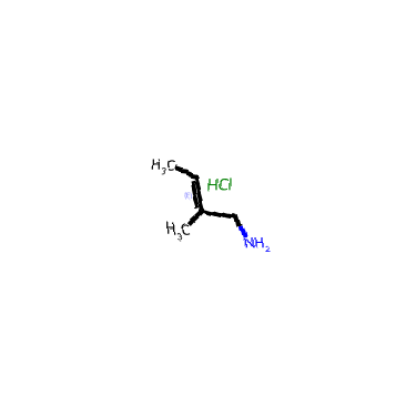 C/C=C(\C)CN.Cl